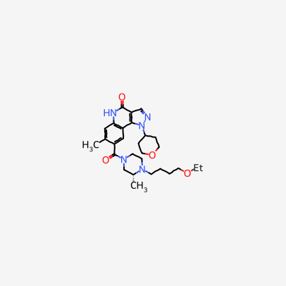 CCOCCCCN1CCN(C(=O)c2cc3c(cc2C)[nH]c(=O)c2cnn(C4CCOCC4)c23)C[C@H]1C